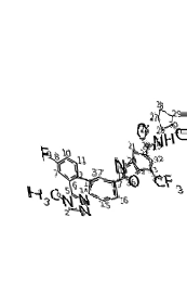 Cn1cnnc1-c1cc(F)ccc1-c1cccc(-c2nc3cc(C(=O)N[C@@H]4CCC[C@@H]4O)cc(C(F)(F)F)c3o2)c1